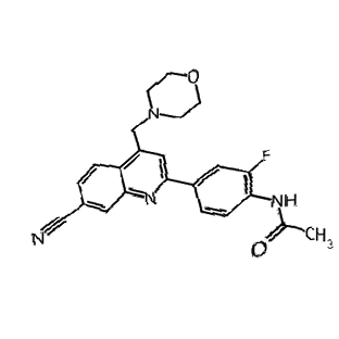 CC(=O)Nc1ccc(-c2cc(CN3CCOCC3)c3ccc(C#N)cc3n2)cc1F